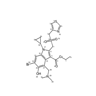 CCOC(=O)c1c(CS(=O)(=O)Cc2cscn2)n(C2CC2)c2cc(Br)c(O)c(CN(C)C)c12